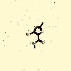 CNC(=O)c1nc(C)sc1Br